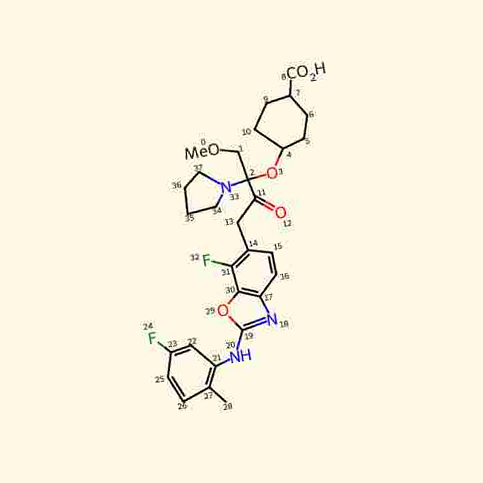 COCC(OC1CCC(C(=O)O)CC1)(C(=O)Cc1ccc2nc(Nc3cc(F)ccc3C)oc2c1F)N1CCCC1